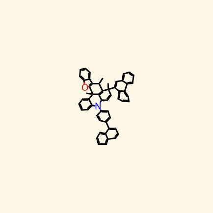 CC1C2=C3C(C)(c4ccccc4N(c4ccc(-c5cccc6ccccc56)cc4)C3(C)C=CC2(C)c2cc3ccccc3c3ccccc23)c2oc3ccccc3c21